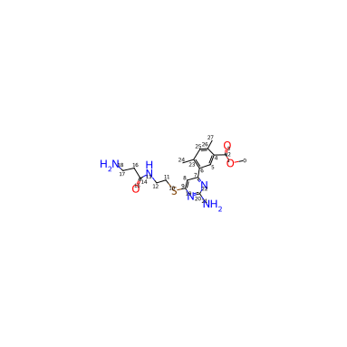 COC(=O)c1cc(-c2cc(SCCNC(=O)CCN)nc(N)n2)c(C)cc1C